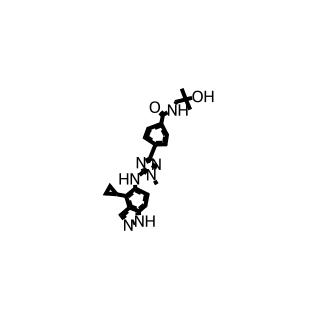 Cn1nc(-c2ccc(C(=O)NCC(C)(C)O)cc2)nc1Nc1ccc2[nH]ncc2c1C1CC1